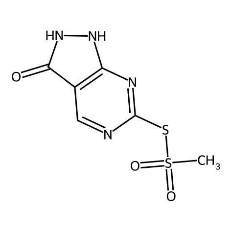 CS(=O)(=O)Sc1ncc2c(=O)[nH][nH]c2n1